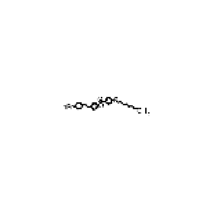 C=CCCCCCCCOc1ccc(C(=O)Oc2ccc(CCC3CCC(CCC)CC3)cc2)cc1